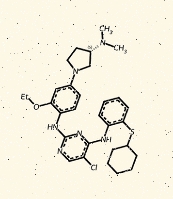 CCOc1cc(N2CC[C@H](N(C)C)C2)ccc1Nc1ncc(Cl)c(Nc2ccccc2SC2CCCCC2)n1